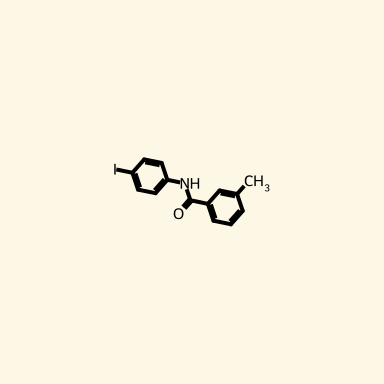 Cc1cccc(C(=O)Nc2ccc(I)cc2)c1